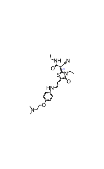 CCNC(=O)/C(C#N)=c1\sc(=C=CNc2ccc(OCCN(C)C)cc2)c(=O)n1CC